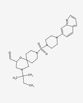 CCC(C)(C)N1CC(C=O)OC2(CCN(S(=O)(=O)N3CCN(c4ccc5cccnc5c4)CC3)CC2)C1